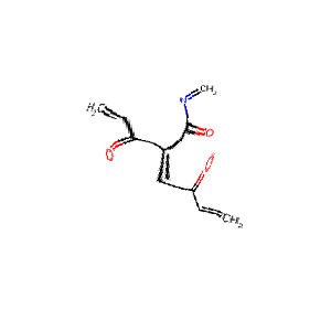 C=CC(=O)C=C(C(=O)C=C)C(=O)N=C